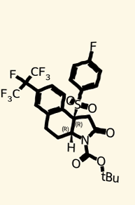 CC(C)(C)OC(=O)N1C(=O)C[C@@]2(S(=O)(=O)c3ccc(F)cc3)c3ccc(C(F)(C(F)(F)F)C(F)(F)F)cc3CC[C@@H]12